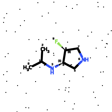 CC(C)N[C@H]1CNC[C@H]1F